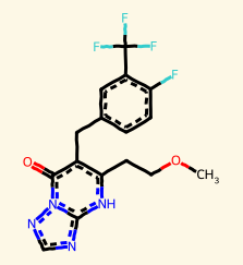 COCCc1[nH]c2ncnn2c(=O)c1Cc1ccc(F)c(C(F)(F)F)c1